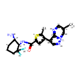 CCc1sc(C(=O)N[C@@H]2[C@H](N)CCCC2(F)F)cc1-c1cnn2cc(C(F)(F)F)cnc12